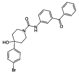 O=C(c1ccccc1)c1cccc(NC(=O)N2CCC(O)(c3ccc(Br)cc3)CC2)c1